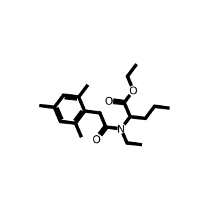 CCCC(C(=O)OCC)N(CC)C(=O)Cc1c(C)cc(C)cc1C